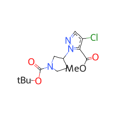 COC(=O)c1c(Cl)cnn1C1CCN(C(=O)OC(C)(C)C)C1